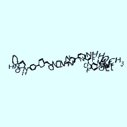 CCN(C)S(=O)(=O)Nc1ccc(F)c(C(=O)c2c[nH]c3ccc(-c4cnc(N5CCN(C(=O)CC6CCC(c7ccc(NC8CCC(=O)NC8=O)cc7)CC6)CC5)nc4)nc23)c1F